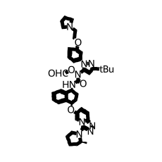 C[C@H]1CCCCN1c1nnc2ccc(O[C@@H]3CC[C@H](NC(=O)N(OC=O)c4cc(C(C)(C)C)nn4-c4cccc(OCCN5CCCC5)c4)c4ccccc43)cn12